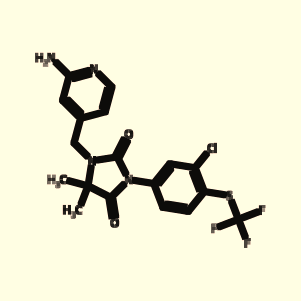 CC1(C)C(=O)N(c2ccc(SC(F)(F)F)c(Cl)c2)C(=O)N1Cc1ccnc(N)c1